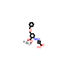 COC(OC)C1CC(COCc2ccccc2)CCC1=NNC1CC(C(=O)O)C1